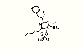 CCCCCc1nc(N(CC)Cc2ccccc2)nc(N)[n+]1OS(=O)(=O)O.[OH-]